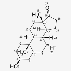 C[C@]12CC[C@H](O)CC1CC[C@@H]1[C@@H]2CC[C@]2(C)C(=O)CC[C@@H]12.[H+]